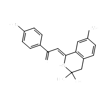 COc1ccc2c(c1)C(=CC(=O)c1ccc([N+](=O)[O-])cc1)NC(C)(C)C2